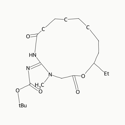 CCC1CCCCCCCC(=O)N/C(=N/C(=O)OC(C)(C)C)N(C)CC(=O)O1